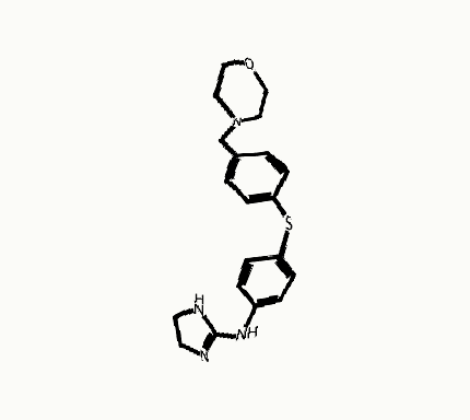 c1cc(Sc2ccc(NC3=NCCN3)cc2)ccc1CN1CCOCC1